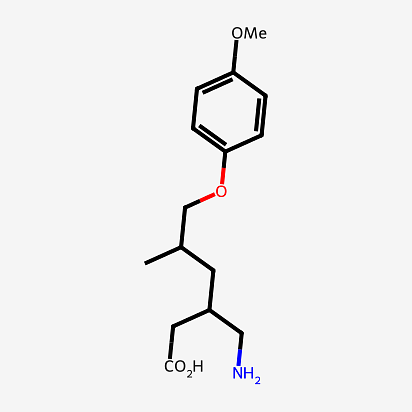 COc1ccc(OCC(C)CC(CN)CC(=O)O)cc1